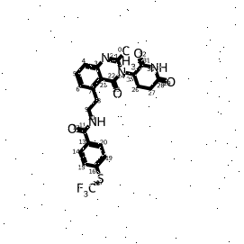 Cc1nc2cccc(CCNC(=O)c3ccc(SC(F)(F)F)cc3)c2c(=O)n1C1CCC(=O)NC1=O